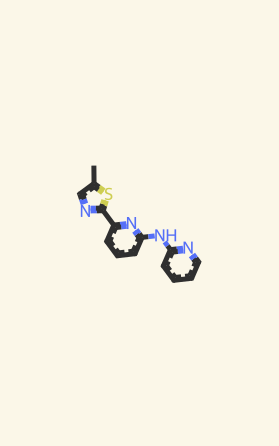 Cc1cnc(-c2cccc(Nc3ccccn3)n2)s1